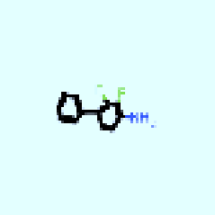 Nc1ccc(-c2ccccc2)c(F)c1F